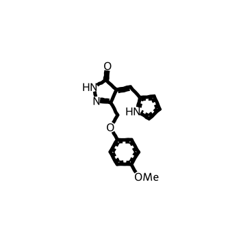 COc1ccc(OCC2=NNC(=O)C2=Cc2ccc[nH]2)cc1